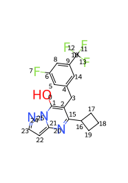 Oc1c(Cc2cc(F)cc(C(F)(F)F)c2)c(C2CCC2)nc2ccnn12